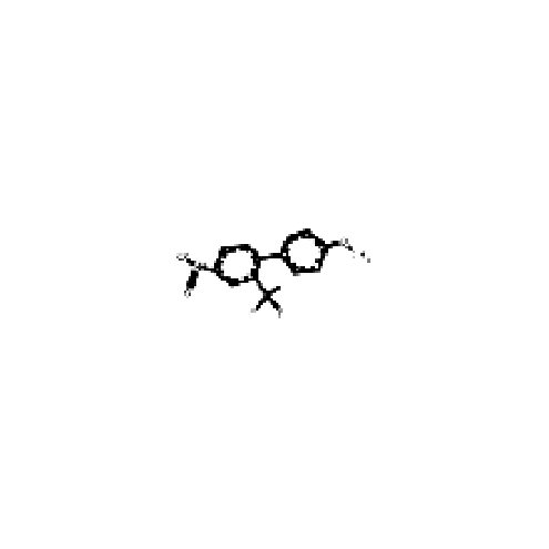 COc1ccc(-c2ccc([N+](=O)[O-])cc2C(F)(F)F)cc1